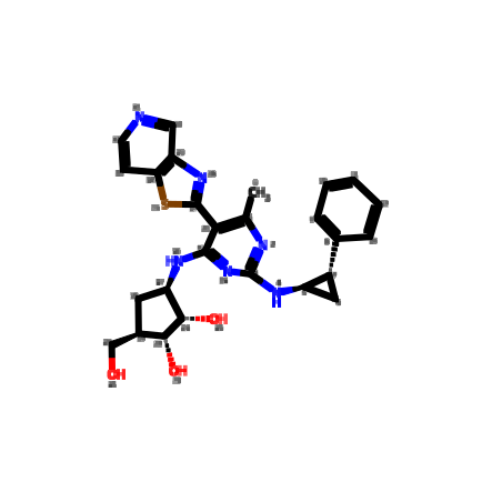 Cc1nc(N[C@@H]2C[C@H]2c2ccccc2)nc(N[C@@H]2C[C@H](CO)[C@@H](O)[C@H]2O)c1-c1nc2cnccc2s1